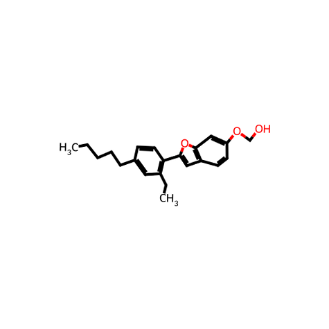 CCCCCc1ccc(-c2cc3ccc(OCO)cc3o2)c(CC)c1